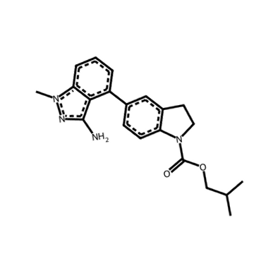 CC(C)COC(=O)N1CCc2cc(-c3cccc4c3c(N)nn4C)ccc21